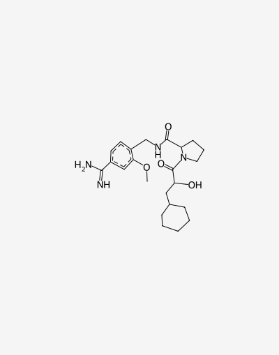 COc1cc(C(=N)N)ccc1CNC(=O)C1CCCN1C(=O)C(O)CC1CCCCC1